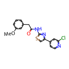 COc1cccc(CC(=O)Nc2nc(-c3ccnc(Cl)c3)cs2)c1